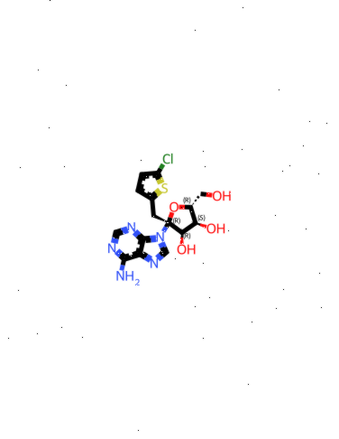 Nc1ncnc2c1ncn2[C@]1(Cc2ccc(Cl)s2)O[C@H](CO)[C@@H](O)[C@H]1O